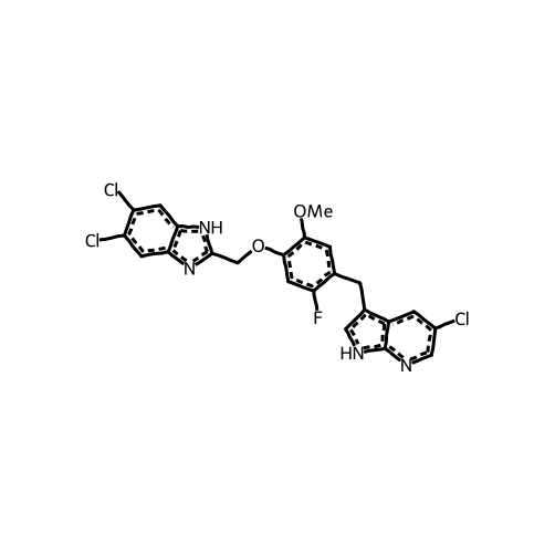 COc1cc(Cc2c[nH]c3ncc(Cl)cc23)c(F)cc1OCc1nc2cc(Cl)c(Cl)cc2[nH]1